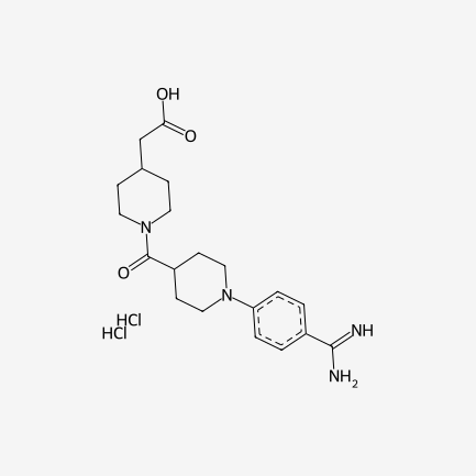 Cl.Cl.N=C(N)c1ccc(N2CCC(C(=O)N3CCC(CC(=O)O)CC3)CC2)cc1